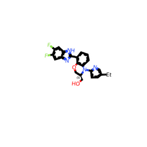 CCc1ccc(N2c3cccc(-c4nc5cc(F)c(F)cc5[nH]4)c3OC[C@@H]2CO)nc1